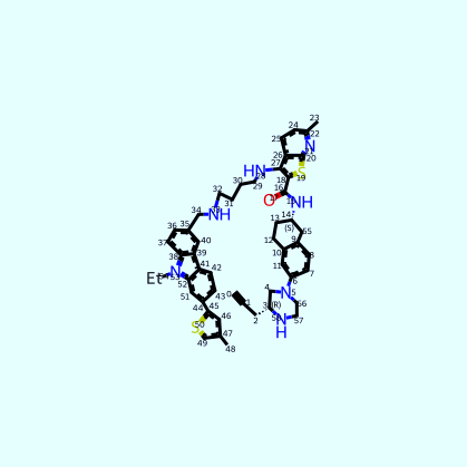 C#CC[C@@H]1CN(c2ccc3c(c2)CC[C@H](NC(=O)c2sc4nc(C)ccc4c2NCCCCNCc2ccc4c(c2)c2ccc(-c5cc(C)cs5)cc2n4CC)C3)CCN1